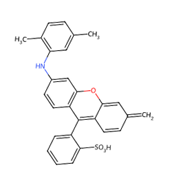 C=c1ccc2c(c1)Oc1cc(Nc3cc(C)ccc3C)ccc1C=2c1ccccc1S(=O)(=O)O